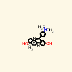 CN(C)c1ccc(C2=C[C@@H]3[C@H](CC[C@]4(C)[C@@H](O)CC[C@@H]34)c3ccc(O)cc32)cc1